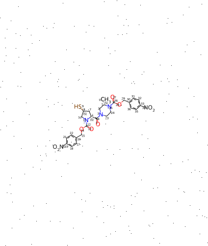 C[C@H]1CN(C(=O)[C@@H]2C[C@H](S)CN2C(=O)OCc2ccc([N+](=O)[O-])cc2)CCN1C(=O)OCc1ccc([N+](=O)[O-])cc1